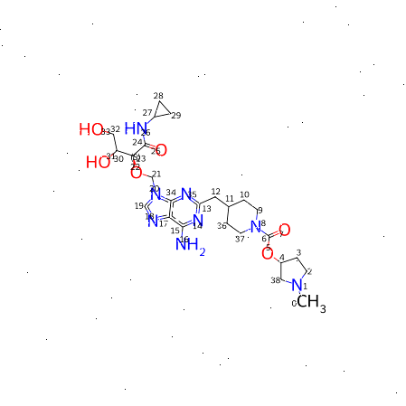 CN1CCC(OC(=O)N2CCC(Cc3nc(N)c4ncn(CO[C@H](C(=O)NC5CC5)C(O)CO)c4n3)CC2)C1